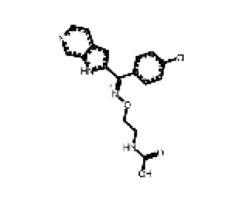 O=C(O)NCCO/N=C(\c1ccc(Cl)cc1)c1cc2ccncc2[nH]1